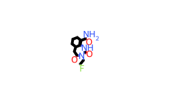 NC(=O)C1=C2NC(=O)N(CCF)C(=O)CC2CCC1